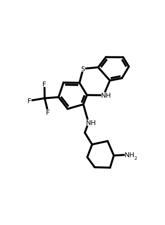 NC1CCCC(CNc2cc(C(F)(F)F)cc3c2Nc2ccccc2S3)C1